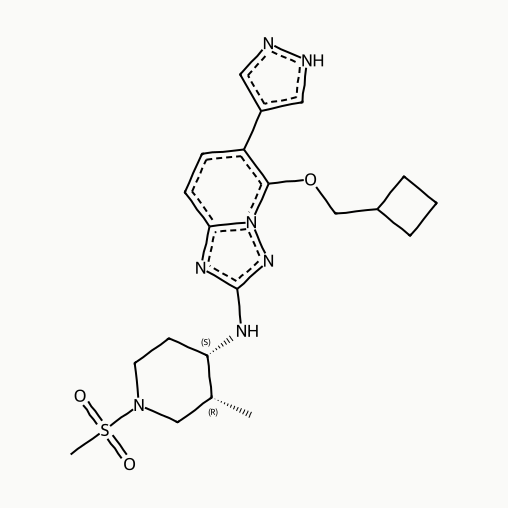 C[C@@H]1CN(S(C)(=O)=O)CC[C@@H]1Nc1nc2ccc(-c3cn[nH]c3)c(OCC3CCC3)n2n1